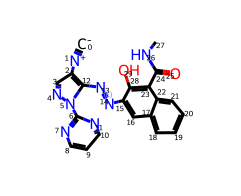 [C-]#[N+]c1cnn(-c2ncccn2)c1/N=N/c1cc2ccccc2c(C(=O)NC)c1O